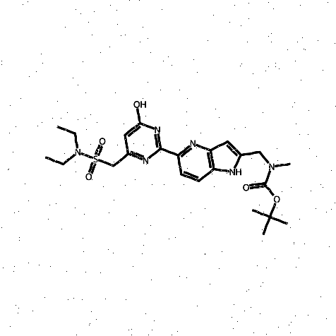 CCN(CC)S(=O)(=O)Cc1cc(O)nc(-c2ccc3[nH]c(CN(C)C(=O)OC(C)(C)C)cc3n2)n1